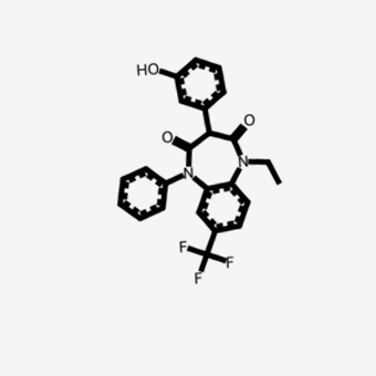 CCN1C(=O)C(c2cccc(O)c2)C(=O)N(c2ccccc2)c2cc(C(F)(F)F)ccc21